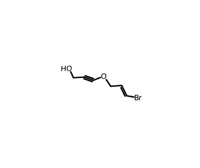 OCC#COCC=CBr